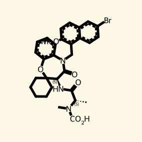 COc1ccc2cc(Br)ccc2c1CN1C(=O)[C@@H](NC(=O)[C@H](C)N(C)C(=O)O)C2(CCCCC2)Oc2ccccc21